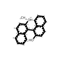 C.Oc1ccc2ccccc2c1-c1c(O)ccc2ccccc12